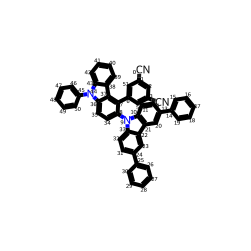 N#Cc1cc(C#N)cc(-c2c(-n3c4ccc(-c5ccccc5)cc4c4cc(-c5ccccc5)ccc43)ccc3c2c2ccccc2n3-c2ccccc2)c1